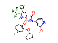 COc1cc(NC(=O)c2cc(Cl)c(C(F)(F)F)nc2Oc2ccc(F)cc2OC2CCCC2)ccn1